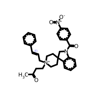 CC(=O)CC[N+]1(C/C=C/c2ccccc2)CCC2(CC1)CN(C(=O)c1ccc([N+](=O)[O-])cc1)c1ccccc12